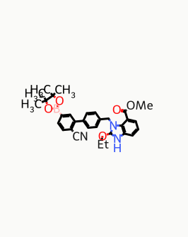 CCOC1Nc2cccc(C(=O)OC)c2N1Cc1ccc(-c2cc(B3OC(C)(C)C(C)(C)O3)ccc2C#N)cc1